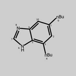 CCCCc1cc(CCCC)c2[nH]cnc2c1